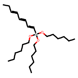 CCC=CC=CC=C[Si](OCCCCCC)(OCCCCCC)OCCCCCC